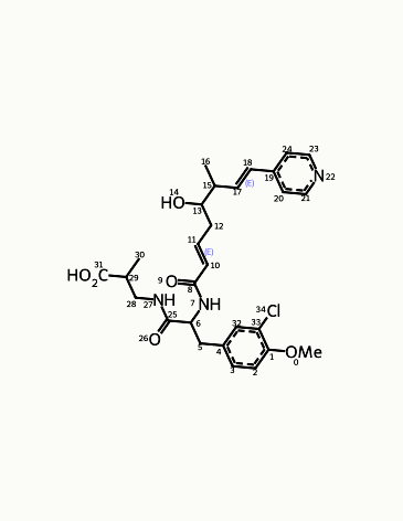 COc1ccc(CC(NC(=O)/C=C/CC(O)C(C)/C=C/c2ccncc2)C(=O)NCC(C)C(=O)O)cc1Cl